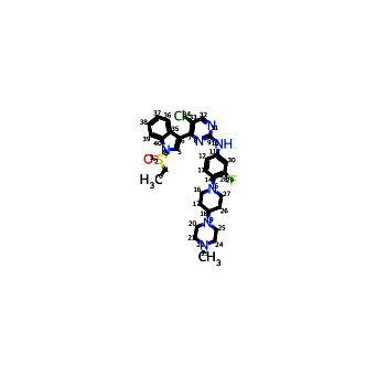 CC[S+]([O-])n1cc(-c2nc(Nc3ccc(N4CCC(N5CCN(C)CC5)CC4)c(F)c3)ncc2Cl)c2ccccc21